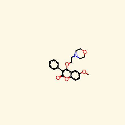 COc1ccc2oc(=O)c(-c3ccccc3)c(OCCN3CCOCC3)c2c1